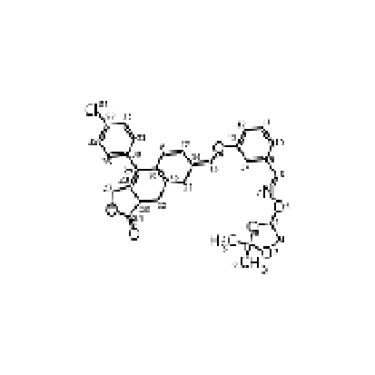 CC1(C)OC[C@H](ON=Cc2cccc(O/C=C3\C=CC4=C(C3)CC3C(=O)OCC3=C4c3ccc(Cl)cc3)c2)O1